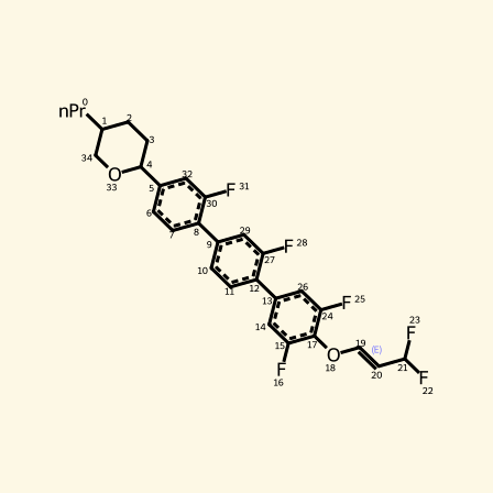 CCCC1CCC(c2ccc(-c3ccc(-c4cc(F)c(O/C=C/C(F)F)c(F)c4)c(F)c3)c(F)c2)OC1